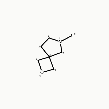 IN1CCC2(COC2)C1